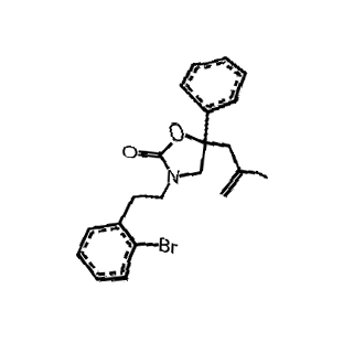 C=C(C)CC1(c2ccccc2)CN(CCc2ccccc2Br)C(=O)O1